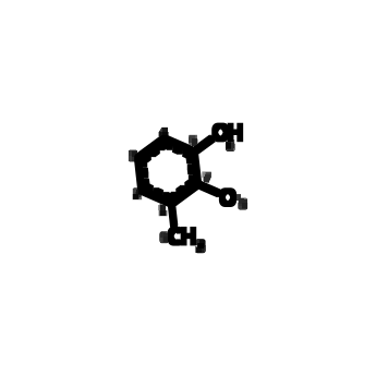 Cc1cccc(O)c1[O]